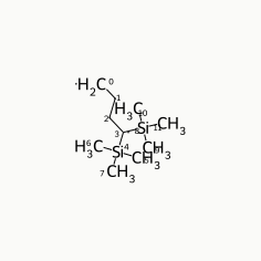 [CH2]CC[C]([Si](C)(C)C)[Si](C)(C)C